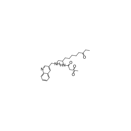 CCC(=O)CCCCCC(CNCc1cnc2ccccc2c1)NC(=O)CS(C)(=O)=O